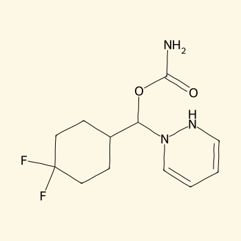 NC(=O)OC(C1CCC(F)(F)CC1)N1C=CC=CN1